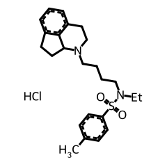 CCN(CCCCN1CCc2cccc3c2C1CC3)S(=O)(=O)c1ccc(C)cc1.Cl